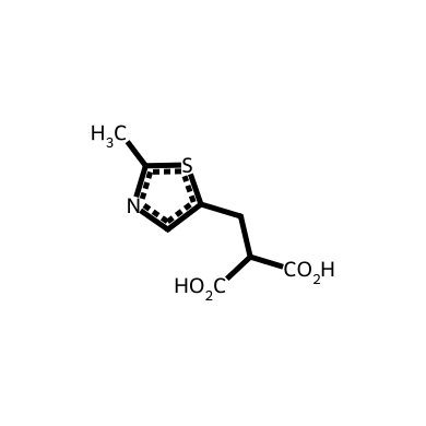 Cc1ncc(CC(C(=O)O)C(=O)O)s1